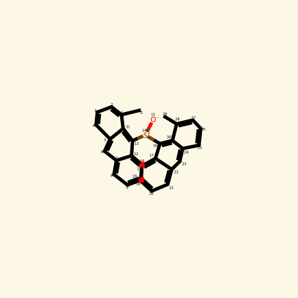 Cc1cccc2cc3ccccc3c([S+]([O-])c3c4ccccc4cc4cccc(C)c34)c12